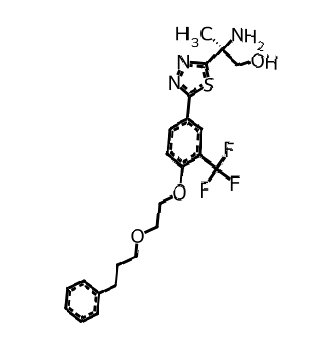 C[C@](N)(CO)c1nnc(-c2ccc(OCCOCCCc3ccccc3)c(C(F)(F)F)c2)s1